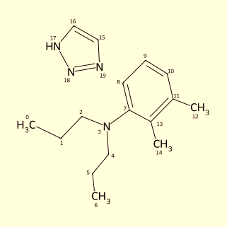 CCCN(CCC)c1cccc(C)c1C.c1c[nH]nn1